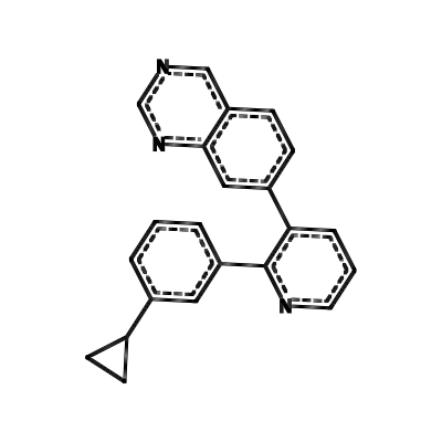 c1cc(-c2ncccc2-c2ccc3cncnc3c2)cc(C2CC2)c1